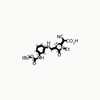 CCn1c(=C(C#N)C(=O)O)sc(=CNc2cccc(NC(=O)OC(C)(C)C)c2)c1=O